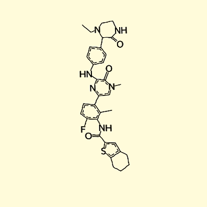 CCN1CCNC(=O)C1c1ccc(Nc2nc(-c3ccc(F)c(NC(=O)c4cc5c(s4)CCCC5)c3C)cn(C)c2=O)cc1